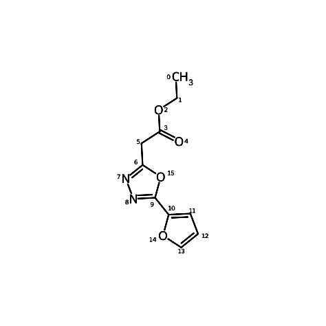 CCOC(=O)Cc1nnc(-c2ccco2)o1